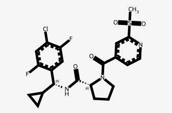 CS(=O)(=O)c1cc(C(=O)N2CCC[C@@H]2C(=O)N[C@@H](c2cc(F)c(Cl)cc2F)C2CC2)ccn1